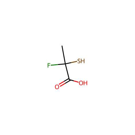 CC(F)(S)C(=O)O